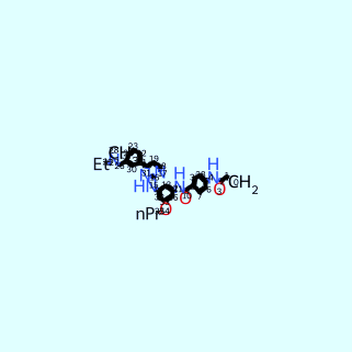 C=CC(=O)Nc1ccc(C(=O)Nc2cc(Nc3nccc(-c4cccc(CN(C)CC)c4)n3)cc(OCCC)c2)cc1